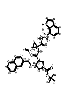 C=C[C@@H]1C[C@]1(NC(=O)[C@H]1CN(C(=O)OC(C)(C)C)C[C@@H]1CCc1ccc2ccccc2c1)C(=O)NS(=O)(=O)c1cccc2cc[nH]c12